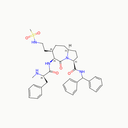 CN[C@H](Cc1ccccc1)C(=O)N[C@@H]1C(=O)N2[C@@H](CC[C@@H]1CCNS(C)(=O)=O)CC[C@H]2C(=O)NC(c1ccccc1)c1ccccc1